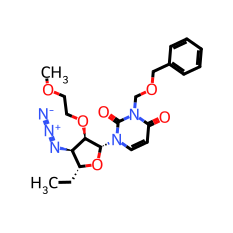 CC[C@H]1O[C@@H](n2ccc(=O)n(COCc3ccccc3)c2=O)[C@H](OCCOC)[C@@H]1N=[N+]=[N-]